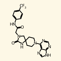 O=C(CN1CC2(CCN(c3ncnc4[nH]cnc34)CC2)NC1=O)Nc1ccc(C(F)(F)F)cc1